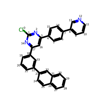 Clc1nc(-c2ccc(-c3cccnc3)cc2)cc(-c2cccc(-c3ccc4ccccc4c3)c2)n1